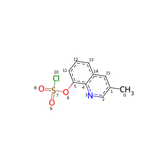 Cc1cnc2c(OS(=O)(=O)Cl)cccc2c1